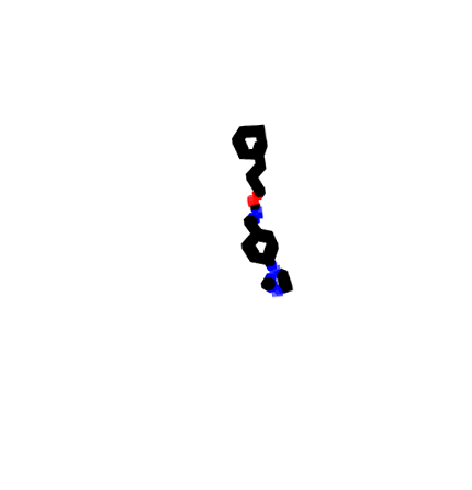 C(=N\OCCCc1ccccc1)/c1ccc(-n2ccnc2)cc1